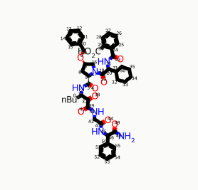 CCCCC(NC(=O)[C@@H]1C[C@@H](OCc2ccccc2)CN1C(=O)C(NC(=O)c1ccccc1C(=O)O)C1CCCCC1)C(=O)C(=O)NCC(=O)NC(C(N)=O)c1ccccc1